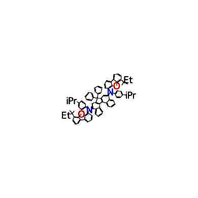 CCC(C)(C)c1cccc2c1oc1c(N(c3ccc(C(C)C)cc3)c3cc4c(c5ccccc35)-c3c(cc(N(c5ccc(C(C)C)cc5)c5cccc6c5oc5c(C(C)(C)CC)cccc56)c5ccccc35)C4(c3ccccc3)c3ccccc3)cccc12